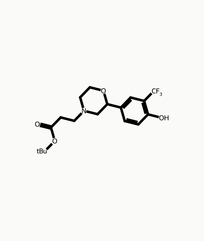 CC(C)(C)OC(=O)CCN1CCOC(c2ccc(O)c(C(F)(F)F)c2)C1